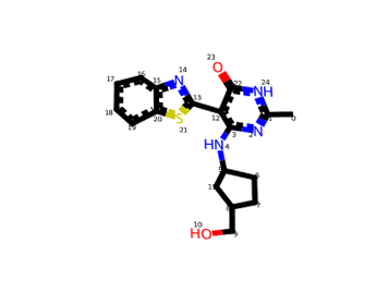 Cc1nc(NC2CCC(CO)C2)c(-c2nc3ccccc3s2)c(=O)[nH]1